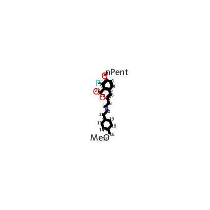 CCCCCOc1ccc2cc(C/C=C/CC3CCC(COC)CC3)oc(=O)c2c1F